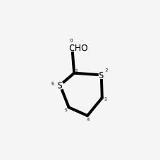 O=CC1SCCCS1